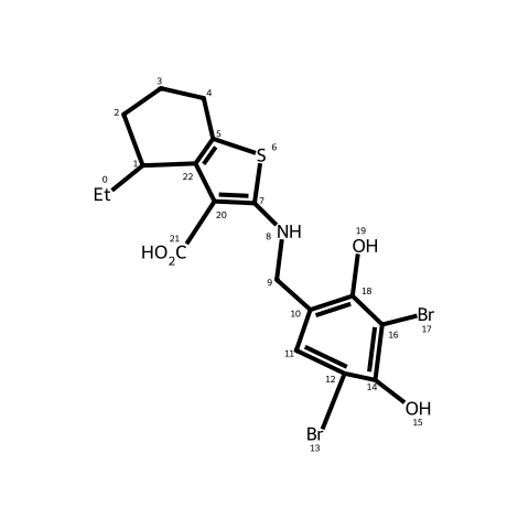 CCC1CCCc2sc(NCc3cc(Br)c(O)c(Br)c3O)c(C(=O)O)c21